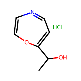 CC(O)C1=CC=NC=CO1.Cl